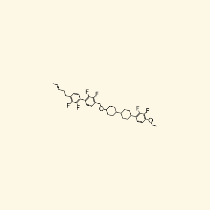 C/C=C/CCc1ccc(-c2ccc(COC3CCC(C4CCC(c5ccc(OCC)c(F)c5F)CC4)CC3)c(F)c2F)c(F)c1F